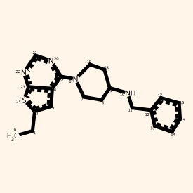 FC(F)(F)Cc1cc2c(N3CCC(NCc4ccccc4)CC3)ncnc2s1